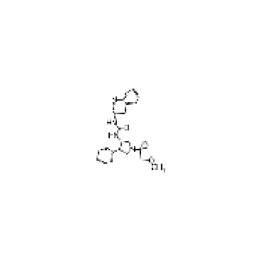 COCC(=O)N1C[C@@H](NC(=O)Nc2cnc3ccccc3c2)[C@H](c2ccccc2)C1